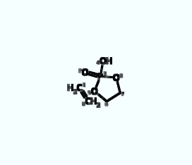 C=C.O=P1(O)OCCO1